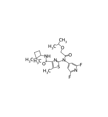 Cc1sc(N(C(=O)COC(C)C)c2cc(F)nc(F)c2)nc1C(=O)NC1CCC1(C)C